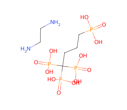 NCCN.O=P(O)(O)CCCC(P(=O)(O)O)(P(=O)(O)O)P(=O)(O)O